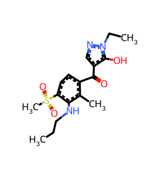 CCCNc1c(S(C)(=O)=O)ccc(C(=O)c2cnn(CC)c2O)c1C